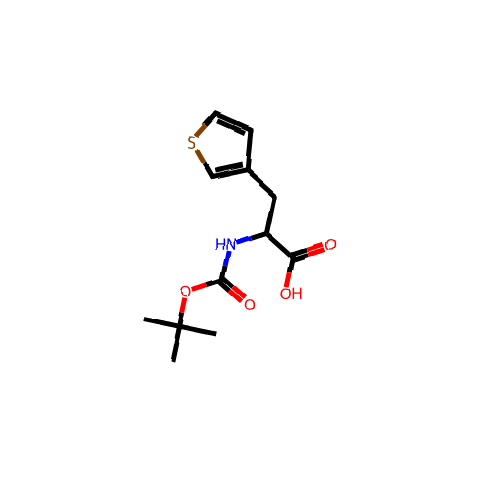 CC(C)(C)OC(=O)NC(Cc1ccsc1)C(=O)O